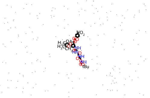 CC(=O)OC1[C@H](Oc2ccc(NC(=O)CNC(=O)CNC(=O)CONC(=O)OC(C)(C)C)cc2COC(=O)Oc2ccc([N+](=O)[O-])cc2)OC(C)[C@@H](C)[C@@H]1C